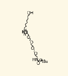 CC(C)(C)OC(=O)NCCOCCOCCOCCOCc1cn(CCCCCCCCO)nn1